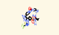 CN(C)[C@H]1CCN(C(=O)N2CCC(c3ncnc4c3c3ccc(S(=O)(=O)NC5(C#N)CC5)cc3n4-c3nnc(C(F)F)s3)CC2)C1